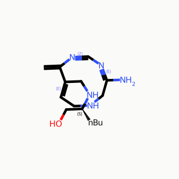 C=C1/N=C\N=C(\N)CNC/C=C/1CN[C@H](CO)CCCC